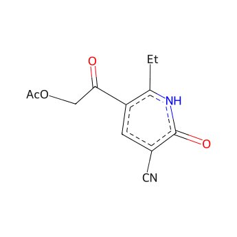 CCc1[nH]c(=O)c(C#N)cc1C(=O)COC(C)=O